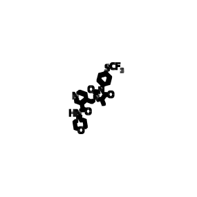 CC1C(=O)N(c2ccc(SC(F)(F)F)cc2)C(=O)N1Cc1ccncc1C(=O)NN1CCOCC1